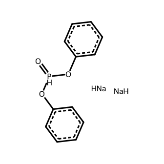 O=[PH](Oc1ccccc1)Oc1ccccc1.[NaH].[NaH]